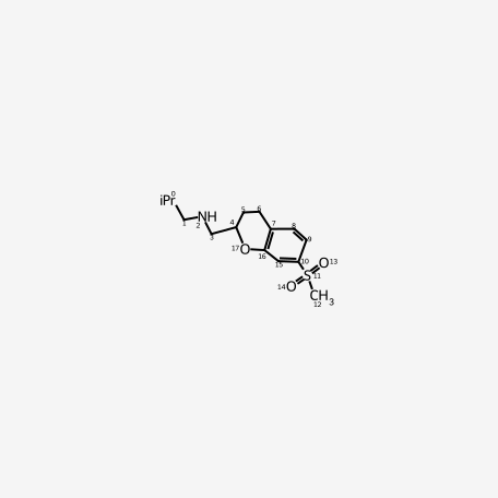 CC(C)CNCC1CCc2ccc(S(C)(=O)=O)cc2O1